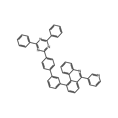 c1ccc(-c2nc(-c3ccccc3)nc(-c3ccc(-c4cccc(-c5cccc6c(-c7cccnc7)nc7ccccc7c56)c4)cc3)n2)cc1